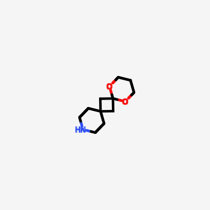 C1COC2(CC3(CCNCC3)C2)OC1